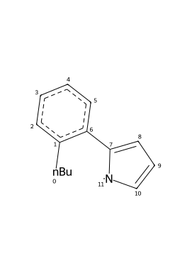 CCCCc1ccccc1C1=CC=C[N]1